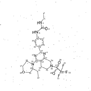 CCNC(=O)Nc1ccc(-c2nc3c(c(N4CCOCC4CC)n2)CCN(S(=O)(=O)C(F)(F)F)C3)cc1